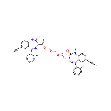 C#Cc1ccc2c(c1)C(c1ccccc1C)=NC(C(=O)OCOCOOCC1N=C(c3ccccc3C)c3cc(C#CC)ccc3N(C)C1=O)C(=O)N2C